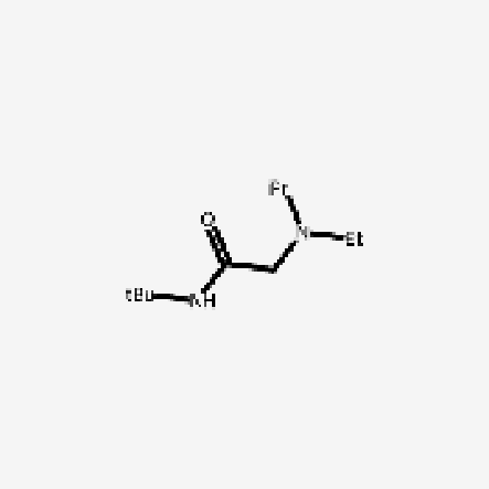 CCN(CC(=O)NC(C)(C)C)C(C)C